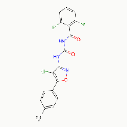 O=C(NC(=O)c1c(F)cccc1F)Nc1noc(-c2ccc(C(F)(F)F)cc2)c1Cl